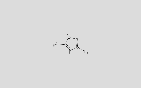 CC(C)c1nc(I)no1